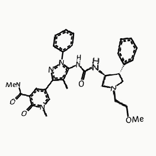 CNC(=O)c1cc(-c2nn(-c3ccccc3)c(NC(=O)N[C@@H]3CN(CCOC)C[C@H]3c3ccccc3)c2C)cn(C)c1=O